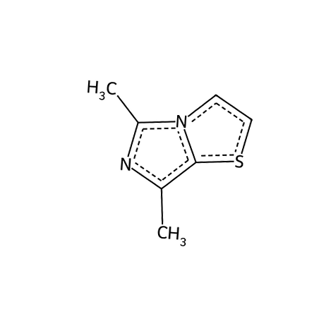 Cc1nc(C)n2ccsc12